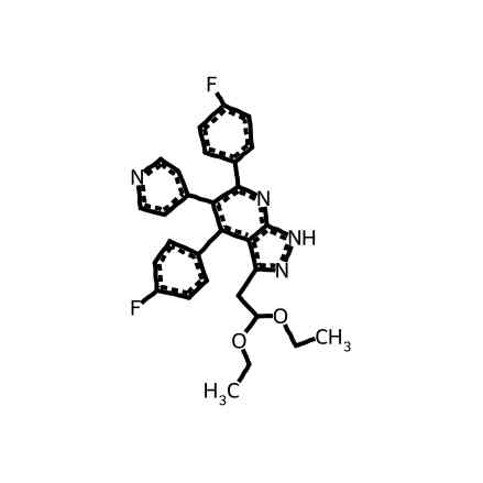 CCOC(Cc1n[nH]c2nc(-c3ccc(F)cc3)c(-c3ccncc3)c(-c3ccc(F)cc3)c12)OCC